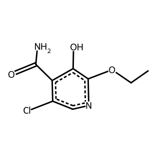 CCOc1ncc(Cl)c(C(N)=O)c1O